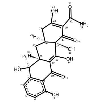 C[C@@]1(O)c2cccc(O)c2C(=O)C2=C(O)[C@]3(O)C(=O)C(C(N)=O)=C(O)C[C@@H]3C[C@@H]21